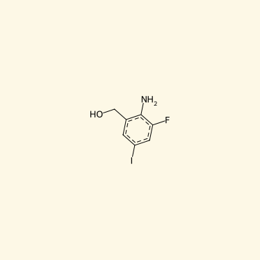 Nc1c(F)cc(I)cc1CO